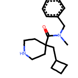 CN(Cc1ccccc1)C(=O)C1(CC2CCC2)CCNCC1